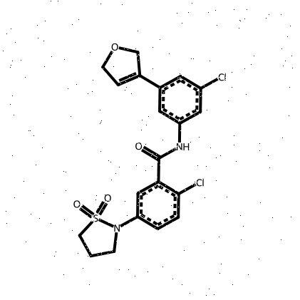 O=C(Nc1cc(Cl)cc(C2=CCOC2)c1)c1cc(N2CCCS2(=O)=O)ccc1Cl